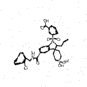 C=CCC1N(S(=O)(=O)c2cccc(C(=O)O)c2)c2ccc(C(=O)NCc3ccccc3Cl)cc2C12CCS(O)(O)CC2